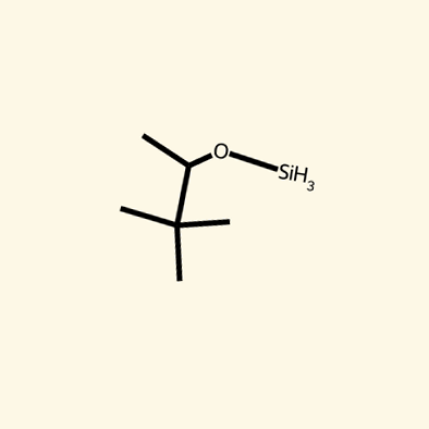 CC(O[SiH3])C(C)(C)C